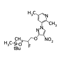 Cc1cnc(C)c(-n2cc([N+](=O)[O-])c(OCC(F)CO[Si](C)(C)C(C)(C)C)n2)c1